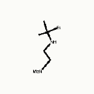 CCC(C)(C)NCCNC